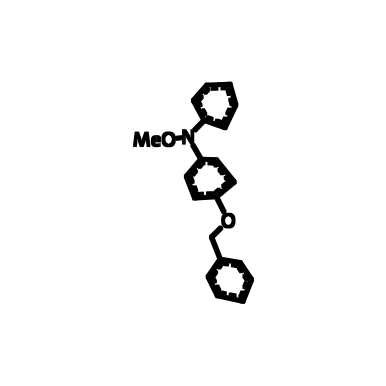 CON(c1ccccc1)c1ccc(OCc2ccccc2)cc1